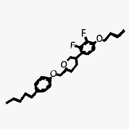 CCCCCc1ccc(OCC2CCC(c3ccc(OCCCC)c(F)c3F)CO2)cc1